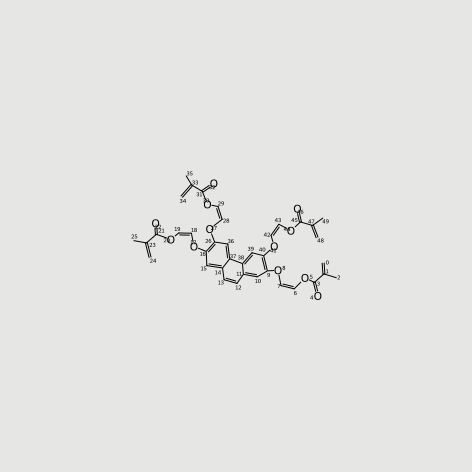 C=C(C)C(=O)O/C=C\Oc1cc2ccc3cc(O/C=C\OC(=O)C(=C)C)c(O/C=C\OC(=O)C(=C)C)cc3c2cc1O/C=C\OC(=O)C(=C)C